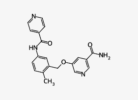 Cc1ccc(NC(=O)c2ccncc2)cc1COc1cncc(C(N)=O)c1